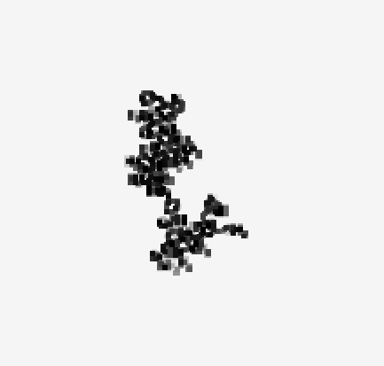 CC[C@H](C)[C@@H]([C@@H](CC(=O)N1CCC[C@H]1[C@H](OC)[C@@H](C)C(=O)N[C@@H](Cc1ccccc1)c1nccs1)OC)N(C)C(=O)[C@@H](NC(=O)C(C)(C)NC(=O)OCc1ccc(NC(=O)[C@H](CCCNC(N)=O)NC(=O)[C@@H](NC(=O)[C@H](CCCCN)NC(=O)Cc2cnc[nH]2)C(C)C)cc1)C(C)C